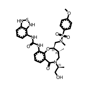 COc1ccc(S(=O)(=O)N(C)C[C@@H]2Oc3c(NC(=O)Nc4cccc5c4NSN5)cccc3C(=O)N([C@@H](C)CO)C[C@H]2C)cc1